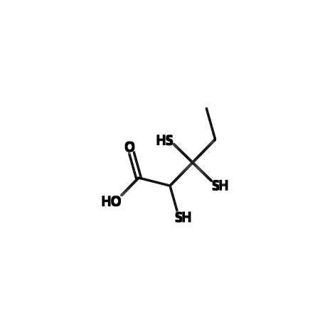 CCC(S)(S)C(S)C(=O)O